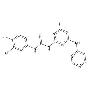 Cc1cc(Nc2ccncc2)nc(NC(=O)Nc2ccc(Cl)c(Cl)c2)n1